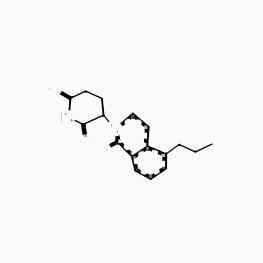 CCCc1cccc2c(=O)n(C3CCC(=O)NC3=O)ccc12